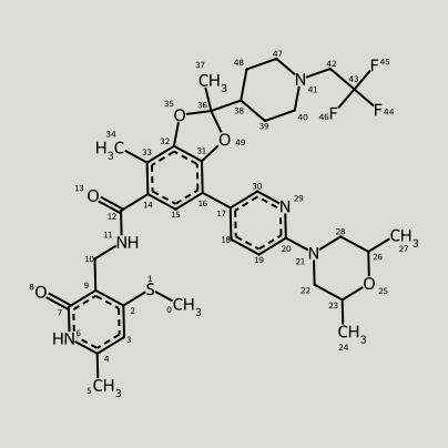 CSc1cc(C)[nH]c(=O)c1CNC(=O)c1cc(-c2ccc(N3CC(C)OC(C)C3)nc2)c2c(c1C)OC(C)(C1CCN(CC(F)(F)F)CC1)O2